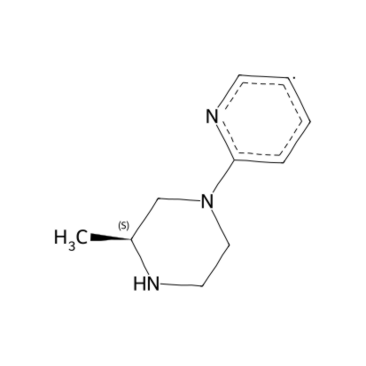 C[C@H]1CN(c2cc[c]cn2)CCN1